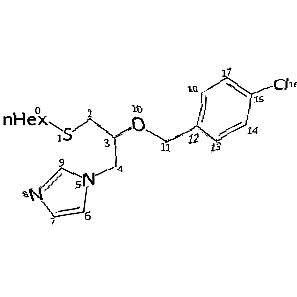 CCCCCCSCC(Cn1ccnc1)OCc1ccc(Cl)cc1